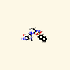 C=NC[C@H](C[C@@H]1CCNC1=O)NC(=O)[C@H](CC(C)C)NS(=O)(=O)c1ccc2ccccc2c1